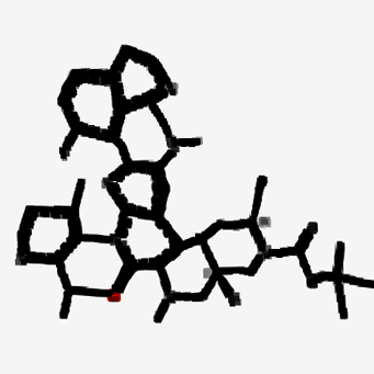 COc1nccc2ccc(F)c(-c3nc4c(cc3F)c3c(c(=O)n4-c4c(C)ccnc4C(C)C)N(C)C[C@H]4CN(C(=O)OC(C)(C)C)[C@H](C)CN34)c12